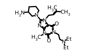 CCN(CC)CCn1c(=O)c2c(nc(N3CCCC(N)C3)n2CC=C(C)C)n(C)c1=O